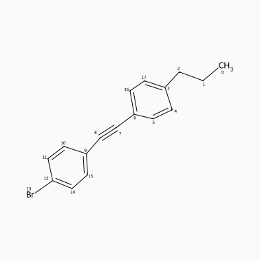 CCCc1ccc(C#Cc2ccc(Br)cc2)cc1